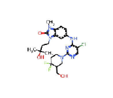 Cn1c(=O)n(CCC(C)(C)O)c2cc(Nc3nc(N4CCC(F)(F)C(CO)C4)ncc3Cl)ccc21